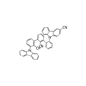 N#Cc1ccc2c(c1)c1ccccc1n2-c1ccccc1-c1cccc(-c2cccc(-n3c4ccccc4c4ccccc43)c2C#N)c1C#N